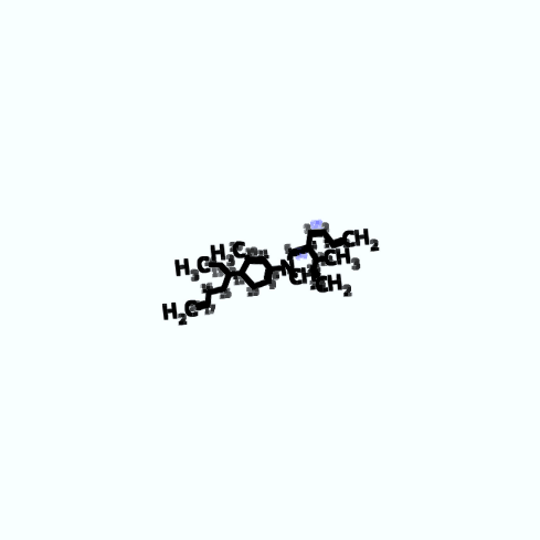 C=C/C=C\C(=C\N(C)C1=CCC(C(CC)CCC=C)C(C)=C1)C(C)C=C